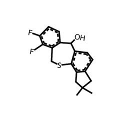 CC1(C)Cc2ccc3c(c2C1)SCc1c(ccc(F)c1F)C3O